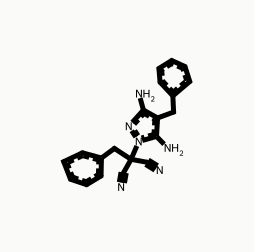 N#CC(C#N)(Cc1ccccc1)n1nc(N)c(Cc2ccccc2)c1N